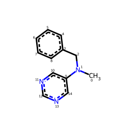 CN(Cc1ccccc1)c1cncnc1